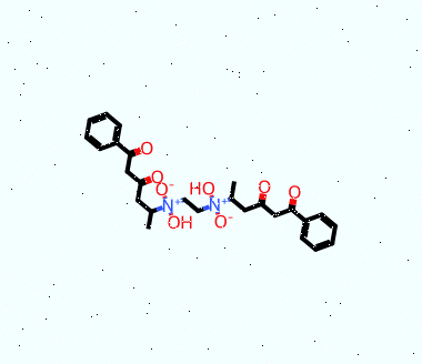 CC(CC(=O)CC(=O)c1ccccc1)[N+]([O-])(O)CC[N+]([O-])(O)C(C)CC(=O)CC(=O)c1ccccc1